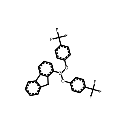 FC(F)(F)c1ccc([O][Zr]([O]c2ccc(C(F)(F)F)cc2)[c]2cccc3c2Cc2ccccc2-3)cc1